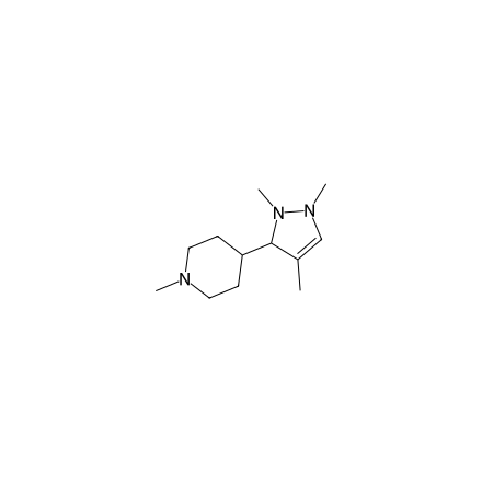 CC1=CN(C)N(C)C1C1CCN(C)CC1